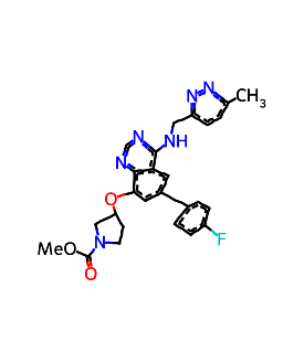 COC(=O)N1CCC(Oc2cc(-c3ccc(F)cc3)cc3c(NCc4ccc(C)nn4)ncnc23)C1